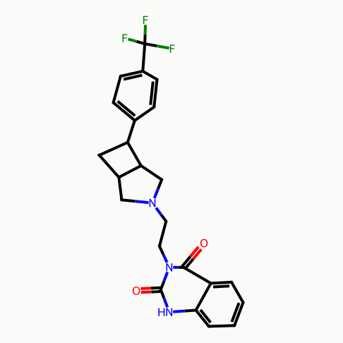 O=c1[nH]c2ccccc2c(=O)n1CCN1CC2CC(c3ccc(C(F)(F)F)cc3)C2C1